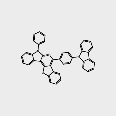 c1ccc(-n2c3ccccc3c3c4oc5ccccc5c4c(-c4ccc(-n5c6ccccc6c6ccccc65)cc4)nc32)cc1